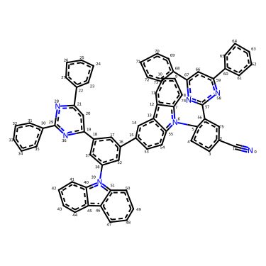 N#Cc1ccc(-n2c3ccccc3c3cc(-c4cc(-c5cc(-c6ccccc6)nc(-c6ccccc6)n5)cc(-n5c6ccccc6c6ccccc65)c4)ccc32)c(-c2nc(-c3ccccc3)cc(-c3ccccc3)n2)c1